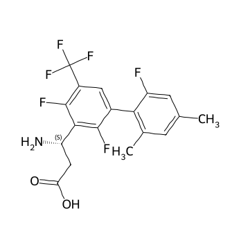 Cc1cc(C)c(-c2cc(C(F)(F)F)c(F)c([C@@H](N)CC(=O)O)c2F)c(F)c1